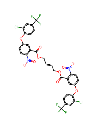 O=C(OCC=CCOC(=O)c1cc(Oc2ccc(C(F)(F)F)cc2Cl)ccc1[N+](=O)[O-])c1cc(Oc2ccc(C(F)(F)F)cc2Cl)ccc1[N+](=O)[O-]